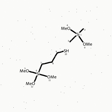 CO[Si](C)(C)OC.CO[Si](CCCS)(OC)OC